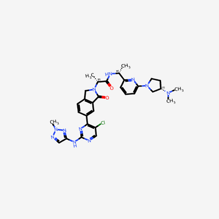 C[C@H](C(=O)N[C@H](C)c1cccc(N2CC[C@H](N(C)C)C2)n1)N1Cc2ccc(-c3nc(Nc4cnn(C)n4)ncc3Cl)cc2C1=O